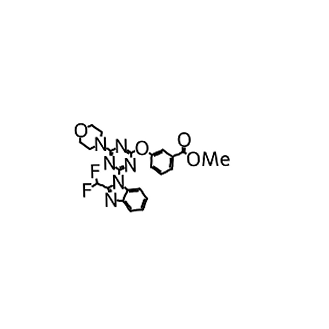 COC(=O)c1cccc(Oc2nc(N3CCOCC3)nc(-n3c(C(F)F)nc4ccccc43)n2)c1